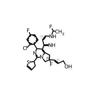 CC(F)N/C=C\C(=N)C1=C2C[C@](F)(/C=C/CO)CN2C(C2CC=CS2)=NC1c1ccc(F)cc1Cl